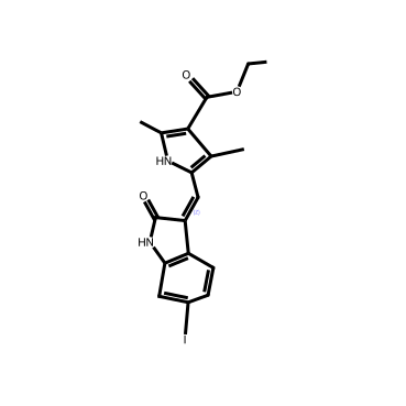 CCOC(=O)c1c(C)[nH]c(/C=C2\C(=O)Nc3cc(I)ccc32)c1C